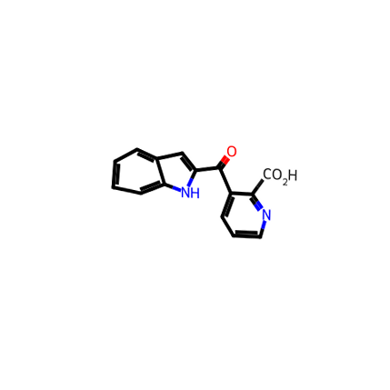 O=C(c1cc2ccccc2[nH]1)c1cccnc1C(=O)O